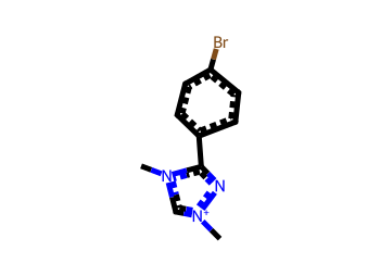 Cn1c[n+](C)nc1-c1ccc(Br)cc1